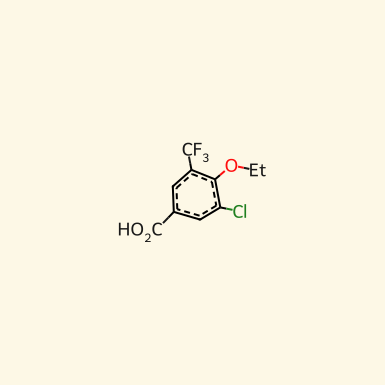 CCOc1c(Cl)cc(C(=O)O)cc1C(F)(F)F